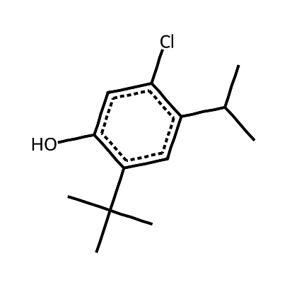 CC(C)c1cc(C(C)(C)C)c(O)cc1Cl